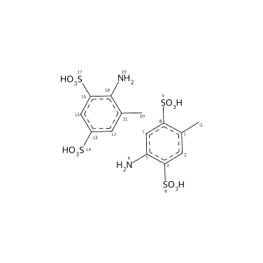 Cc1cc(S(=O)(=O)O)c(N)cc1S(=O)(=O)O.Cc1cc(S(=O)(=O)O)cc(S(=O)(=O)O)c1N